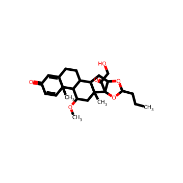 CCCC1OC2CC3C4CCC5=CC(=O)C=CC5(C)C4C(OC)CC3(C)C2(C(=O)CO)O1